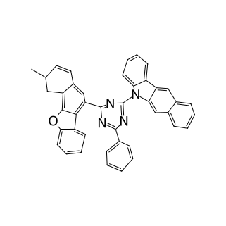 CC1C=Cc2cc(-c3nc(-c4ccccc4)nc(-n4c5ccccc5c5cc6ccccc6cc54)n3)c3c(oc4ccccc43)c2C1